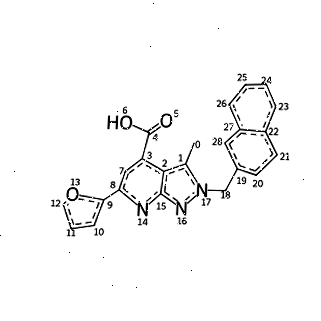 Cc1c2c(C(=O)O)cc(-c3ccco3)nc2nn1Cc1ccc2ccccc2c1